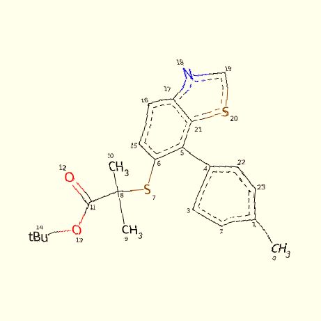 Cc1ccc(-c2c(SC(C)(C)C(=O)OC(C)(C)C)ccc3ncsc23)cc1